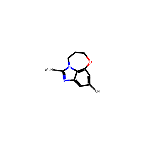 CNc1nc2cc(C#N)cc3c2n1CCCO3